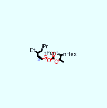 CCCCCCC(CCCCC)C(C)OC(=O)OO/C=C\C(CC)CC(C)C